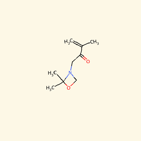 C=C(C)C(=O)CN1COC1(C)C